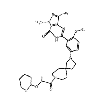 CCCc1nn(C)c2c(=O)[nH]c(-c3cc(N4CCC5(CCN(C(=O)NOC6CCCCO6)CC5)C4)ccc3OCC)nc12